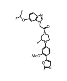 COc1cc(N2CCN(C(=O)Cn3cnc4ccc(OC(F)F)cc43)C[C@@H]2C)ccc1-c1cnc(C)o1